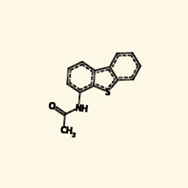 CC(=O)Nc1cccc2c1sc1ccccc12